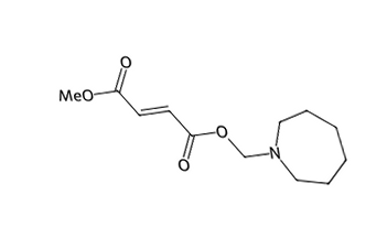 COC(=O)/C=C/C(=O)OCN1CCCCCC1